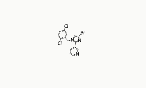 Clc1ccc(Cl)c(Cn2cc(Br)nc2-c2cccnc2)c1